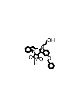 Cc1cc2ccccc2n1C1=C(c2cn(CCCO)c3ccc(OCc4ccccc4)cc23)C(=O)NC1=O